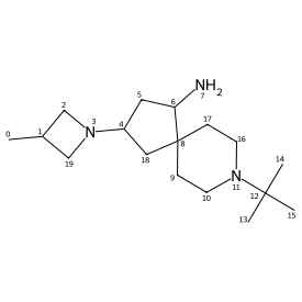 CC1CN(C2CC(N)C3(CCN(C(C)(C)C)CC3)C2)C1